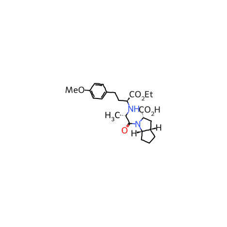 CCOC(=O)[C@H](CCc1ccc(OC)cc1)N[C@@H](C)C(=O)N1[C@H](C(=O)O)C[C@@H]2CCC[C@@H]21